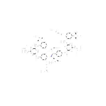 CCC(C)Nc1nc(Nc2ccc(/C=C/c3ccc(Nc4nc(Nc5cc(SOOO)ccc5S(=O)(=O)O)nc(NC(C)CC)n4)cc3SOOO)c(S(=O)(=O)O)c2)nc(Nc2cc(S(=O)(=O)O)ccc2SOOO)n1